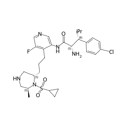 CC(C)[C@H](c1ccc(Cl)cc1)[C@H](N)C(=O)Nc1cncc(F)c1CCC[C@H]1CNC[C@H](C)N1S(=O)(=O)C1CC1